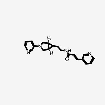 O=C(/C=C/c1cccnc1)NCCC1[C@H]2CN(c3cccnc3)C[C@@H]12